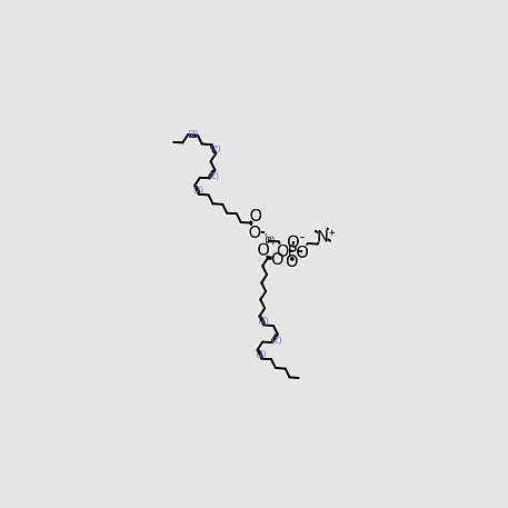 CC/C=C\C/C=C\C/C=C\C/C=C\CCCCCCC(=O)OC[C@H](COP(=O)([O-])OCC[N+](C)(C)C)OC(=O)CCCCCC/C=C\C/C=C\C/C=C\CCCCC